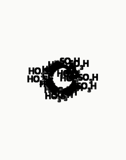 O=S(=O)(O)c1cc2cc(S(=O)(=O)O)c3c(O)c2c(O)c1Cc1c(S(=O)(=O)O)cc2cc(S(=O)(=O)O)c(c(O)c2c1O)Cc1c(S(=O)(=O)O)cc2cc(S(=O)(=O)O)c(c(O)c2c1O)Cc1c(S(=O)(=O)O)cc2cc(S(=O)(=O)O)c(c(O)c2c1O)C3